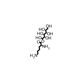 NCCCC[C@H](N)C(=O)OC(O)[C@H](O)[C@@H](O)[C@H](O)[C@H](O)CO